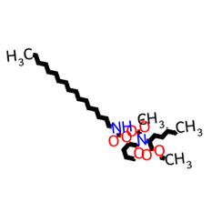 CC[CH]CCC(C(=O)OCC)N(C(=O)OC)C1OCCCC1OC(=O)NCCCCCCCCCCCCCCCCC